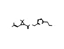 CCCc1ccc(COC(=O)C2C(C=C(C)C)C2(C)C)o1